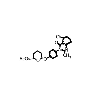 CC(=O)OC[C@@H]1CCC[C@H](Oc2ccc(-n3c(C)nc4cccc(Cl)c4c3=O)cc2)O1